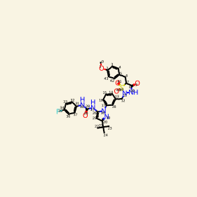 COc1ccc(CC2C(=O)NN(Cc3cccc(-n4nc(C(C)(C)C)cc4NC(=O)Nc4ccc(F)cc4)c3)S2(=O)=O)cc1